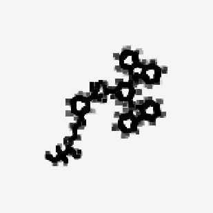 CCC(C)(C)C(=O)OCCOc1cccc(-c2nnc(-c3cc(-n4c5ccccc5c5ccccc54)cc(-n4c5ccccc5c5ccccc54)c3)o2)c1